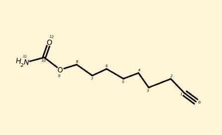 C#CCCCCCCCOC(N)=O